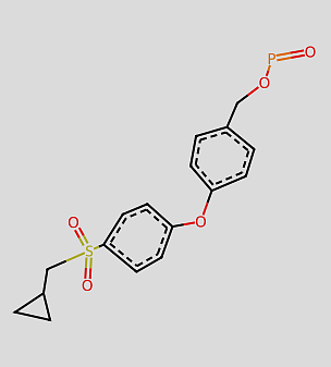 O=POCc1ccc(Oc2ccc(S(=O)(=O)CC3CC3)cc2)cc1